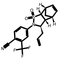 C=CC[C@@H]1[C@@H]2[C@@H]([C@@H]3C=C[C@H]2C3)S(=O)(=O)N1c1ccc(C#N)c(C(F)(F)F)c1